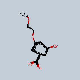 COCCOc1cc(O)cc(C(=O)O)c1